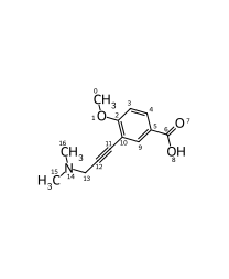 COc1ccc(C(=O)O)cc1C#CCN(C)C